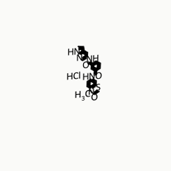 CN1C(=O)CSc2cc(NC(=O)c3cccc(C(=O)Nc4cnc5[nH]ccc5c4)c3)ccc21.Cl